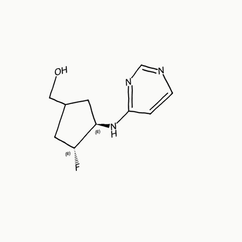 OCC1C[C@@H](F)[C@H](Nc2ccncn2)C1